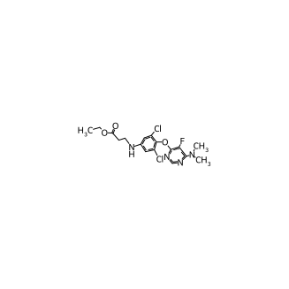 CCOC(=O)CCNc1cc(Cl)c(Oc2ncnc(N(C)C)c2F)c(Cl)c1